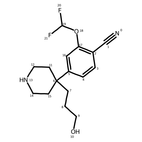 N#Cc1ccc(C2(CCCO)CCNCC2)cc1OC(F)F